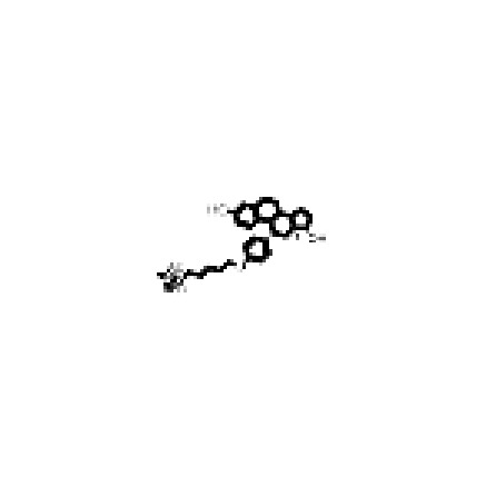 CCCC[N+](C)(SCCCCCOc1ccc([C@H]2C[C@@]3(C)C(CC[C@@H]3O)C3CCc4cc(O)ccc4C32)cc1)C(C)=O